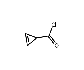 O=C(Cl)C1C=C1